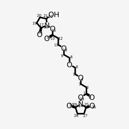 O=C(CCOCCOCCOCCC(=O)ON1C(=O)CCC1O)ON1C(=O)CCC1=O